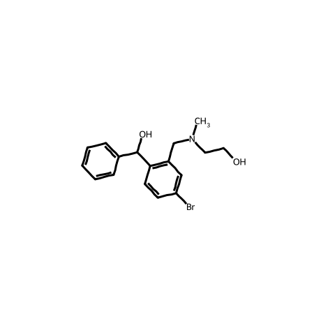 CN(CCO)Cc1cc(Br)ccc1C(O)c1ccccc1